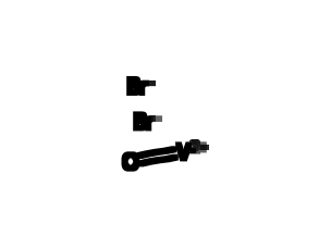 [Br-].[Br-].[O]=[V+2]